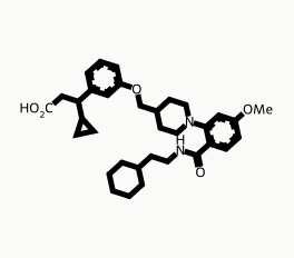 COc1ccc(C(=O)NCCC2CCCCC2)c(N2CCC(COc3cccc(C(CC(=O)O)C4CC4)c3)CC2)c1